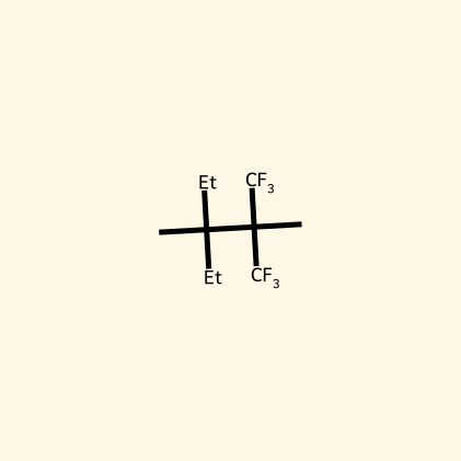 CCC(C)(CC)C(C)(C(F)(F)F)C(F)(F)F